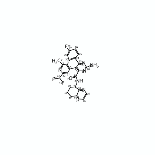 Cc1cc(-c2c(C(=O)NC3CCCc4cccnc43)nc(N)nc2-c2ccc(F)cc2)cc(C(F)F)n1